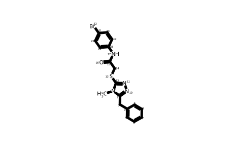 Cn1c(Cc2ccccc2)nnc1SCC(=O)Nc1ccc(Br)cc1